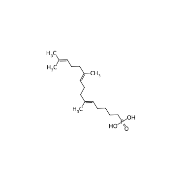 CC(C)=CCCC(C)=CCCC(C)=CCCCCP(=O)(O)O